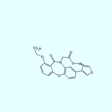 CC(C)(C)OC(=O)CN1C(=O)c2c(OCC(=O)O)cccc2Oc2ccc(-c3ccoc3)cc21